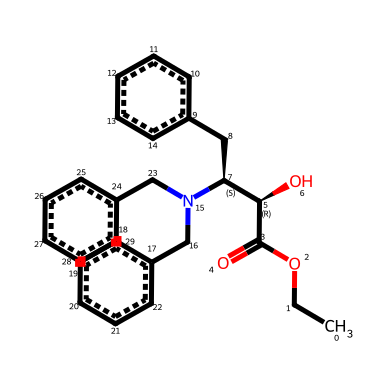 CCOC(=O)[C@H](O)[C@H](Cc1ccccc1)N(Cc1ccccc1)Cc1ccccc1